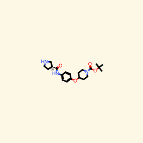 CC(C)(C)OC(=O)N1CCC(Oc2ccc(NC(=O)[C@H]3CCNC3)cc2)CC1